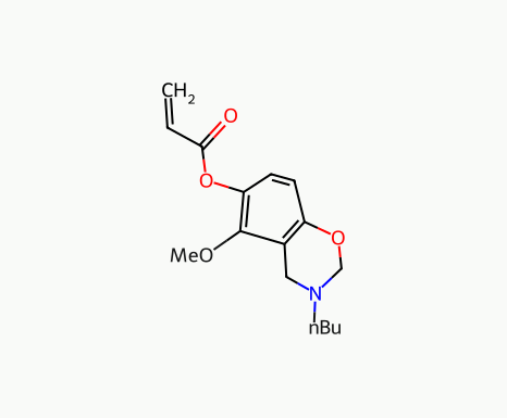 C=CC(=O)Oc1ccc2c(c1OC)CN(CCCC)CO2